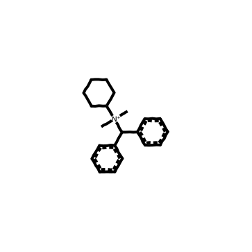 C[N+](C)(C1CCCCC1)C(c1ccccc1)c1ccccc1